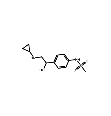 CS(=O)(=O)Nc1ccc(C(O)CNC2CC2)cc1